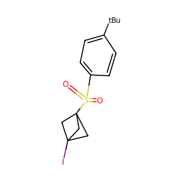 CC(C)(C)c1ccc(S(=O)(=O)C23CC(I)(C2)C3)cc1